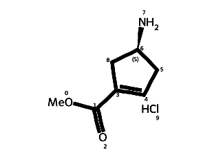 COC(=O)C1=CC[C@H](N)C1.Cl